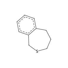 c1ccc2c(c1)CCCSC2